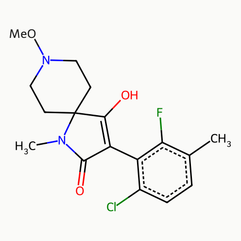 CON1CCC2(CC1)C(O)=C(c1c(Cl)ccc(C)c1F)C(=O)N2C